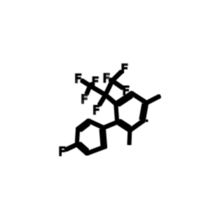 Cc1[c]c(C)c(-c2ccc(F)cc2)c(C(F)(C(F)(F)F)C(F)(F)F)c1